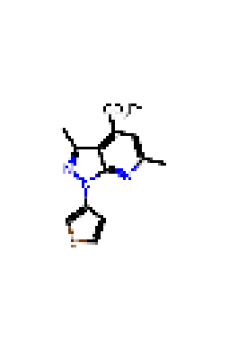 CCOC(=O)c1cc(C)nc2c1c(C)nn2-c1ccsc1